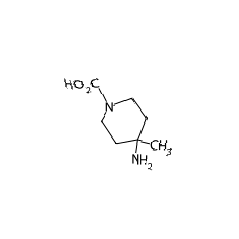 CC1(N)CCN(C(=O)O)CC1